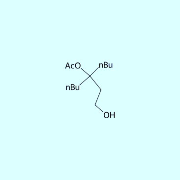 CCCCC(CCO)(CCCC)OC(C)=O